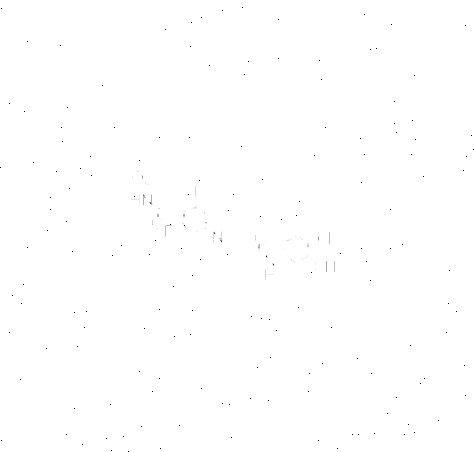 Cc1cc(NC(=O)CC2CN(c3cc(F)c(C4CCC(=O)NC4=O)c(F)c3)C2)ccc1Cl